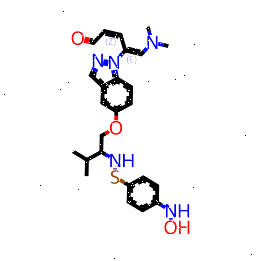 CC(C)C(COc1ccc2c(cnn2C(/C=C\C=O)=C/N(C)C)c1)NSc1ccc(NO)cc1